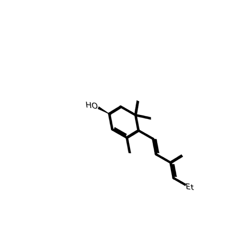 CC/C=C(C)/C=C/C1C(C)=C[C@@H](O)CC1(C)C